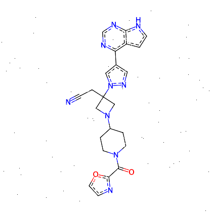 N#CCC1(n2cc(-c3ncnc4[nH]ccc34)cn2)CN(C2CCN(C(=O)c3ncco3)CC2)C1